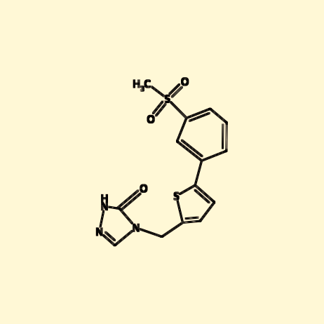 CS(=O)(=O)c1cccc(-c2ccc(Cn3cn[nH]c3=O)s2)c1